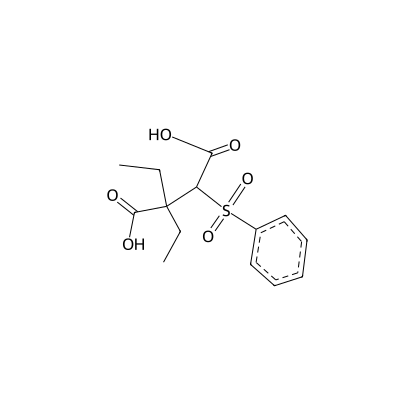 CCC(CC)(C(=O)O)C(C(=O)O)S(=O)(=O)c1ccccc1